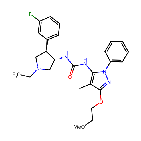 COCCOc1nn(-c2ccccc2)c(NC(=O)N[C@@H]2CN(CC(F)(F)F)C[C@H]2c2cccc(F)c2)c1C